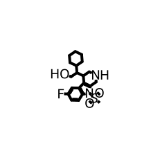 CS(=O)(=O)n1c2c(c3cc(F)ccc31)C(C(CO)C1CCCCC1)CNC2